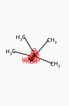 CCCCCCCCCCCCCCCC(=O)OC[C@H]1O[C@@](COC(=O)CCCCCCCCCCCCCCC)(O[C@H]2O[C@H](CO)[C@@H](O)[C@H](O)[C@H]2O)[C@@H](OC(=O)CCCCCCCCCCCCCCC)[C@@H]1OC(=O)CCCCCCCCCCCCCCC